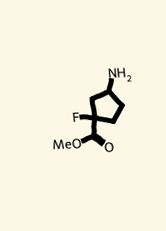 COC(=O)C1(F)CCC(N)C1